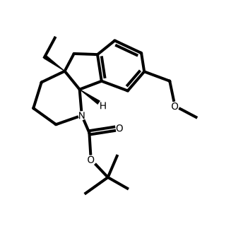 CC[C@]12CCCN(C(=O)OC(C)(C)C)[C@H]1c1cc(COC)ccc1C2